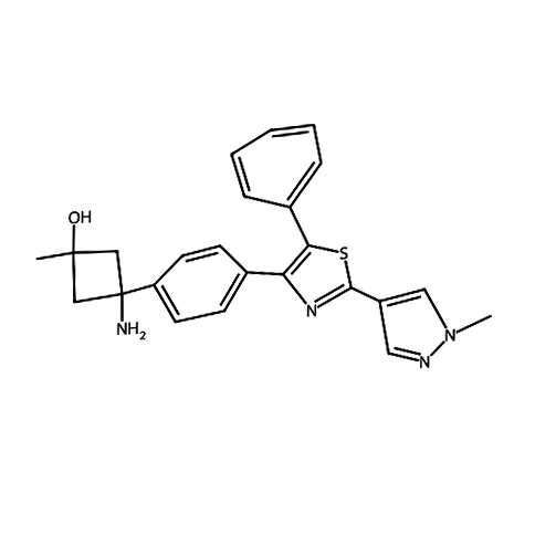 Cn1cc(-c2nc(-c3ccc(C4(N)CC(C)(O)C4)cc3)c(-c3ccccc3)s2)cn1